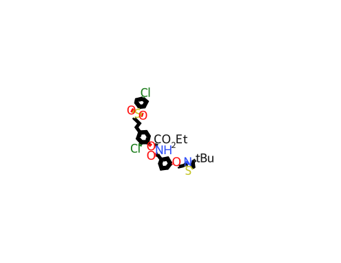 CCOC(=O)C(NC(=O)c1cccc(OCc2nc(C(C)(C)C)cs2)c1)Oc1ccc(CCCS(=O)(=O)c2ccc(Cl)cc2)cc1Cl